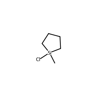 C[Si]1(Cl)CCCC1